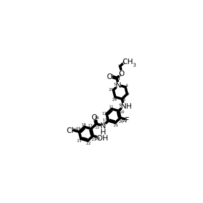 CCOC(=O)N1CCC(Nc2ccc(NC(=O)c3cc(Cl)ccc3O)cc2F)CC1